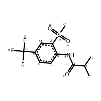 CC(C)C(=O)Nc1ccc(C(F)(F)F)cc1S(C)(=O)=O